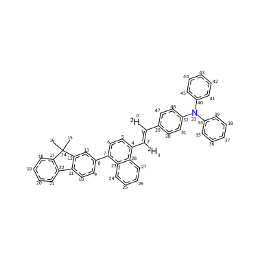 [2H]/C(=C(/[2H])c1ccc(-c2ccc3c(c2)C(C)(C)c2ccccc2-3)c2ccccc12)c1ccc(N(c2ccccc2)c2ccccc2)cc1